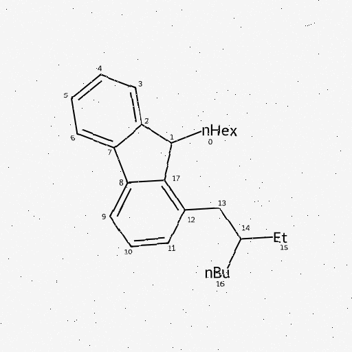 CCCCCCC1c2ccccc2-c2cccc(CC(CC)CCCC)c21